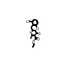 CCOC(=O)C1=C(C)N=C(Cc2c(Cl)cccc2Cl)CC1=O